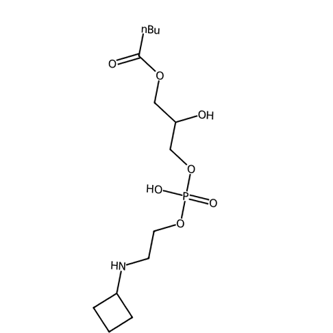 CCCCC(=O)OCC(O)COP(=O)(O)OCCNC1CCC1